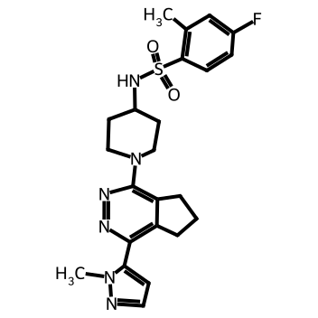 Cc1cc(F)ccc1S(=O)(=O)NC1CCN(c2nnc(-c3ccnn3C)c3c2CCC3)CC1